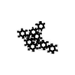 c1ccc(-c2ccc(N(c3ccccc3)c3ccccc3-c3ccccc3N(c3ccccc3)c3ccc(-c4ccccc4)cc3)cc2)cc1